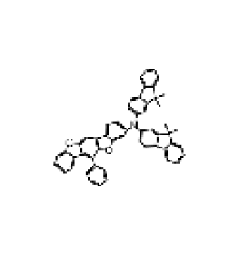 CC1(C)c2ccccc2-c2ccc(N(c3ccc4c(c3)C(C)(C)c3ccccc3-4)c3ccc4c(c3)oc3c(-c5ccccc5)c5c(cc34)oc3ccccc35)cc21